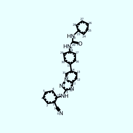 N#Cc1ccccc1Nc1nc2ccc(-c3ccc(NC(=O)Nc4ccccc4)cc3)cn2n1